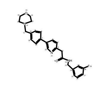 O=C(Cc1ccc(-c2ccc(CN3CCOCC3)cc2)cn1)NCc1cccc(F)c1